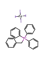 [I][Fe-]([I])([I])[I].c1ccc(C[P+](c2ccccc2)(c2ccccc2)c2ccccc2)cc1